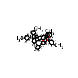 Cc1ccc(N(c2ccc(C)cc2)c2ccc3c(c2)C2(c4cc(N(c5ccc(C)cc5)c5ccc(C)cc5)ccc4-c4ccccc4-3)c3ccccc3-c3cc4c(cc32)oc2ccccc24)cc1